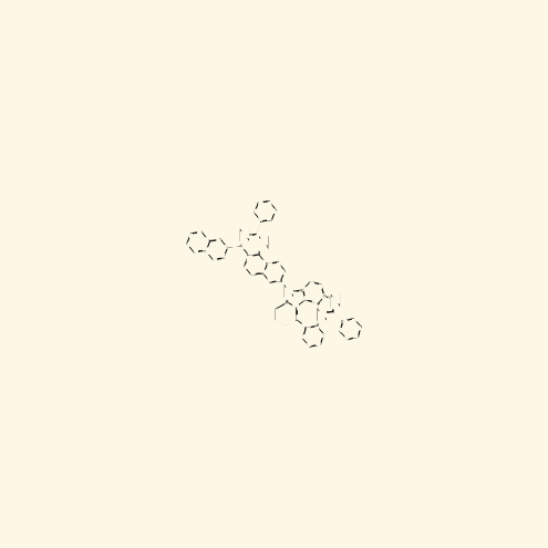 C1=c2c3c(c4ccccc4n4c(-c5ccccc5)nc5ccc(c3c54)n2-c2ccc3c(ccc4c(-c5ccc6ccccc6c5)nc(-c5ccccc5)nc43)c2)CC1